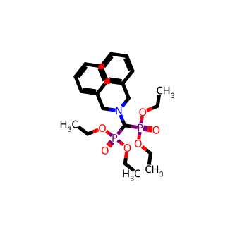 CCOP(=O)(OCC)C(N(Cc1ccccc1)Cc1ccccc1)P(=O)(OCC)OCC